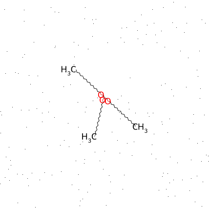 CCCCCCCCCCCCCCCCOCC(COCCCCCCCCCCCCCCCC)OCCCCCCCCCCCCCCCC